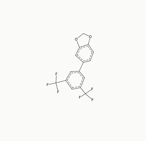 FC(F)(F)c1cc(-c2ccc3c(c2)OCO3)cc(C(F)(F)F)c1